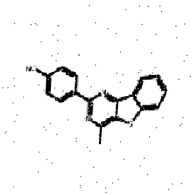 Cc1nc(-c2ccc(C#N)cc2)nc2c1sc1ccccc12